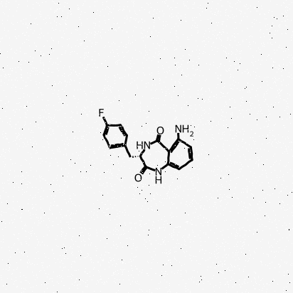 Nc1cccc2c1C(=O)N[C@@H](Cc1ccc(F)cc1)C(=O)N2